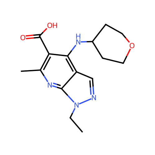 CCn1ncc2c(NC3CCOCC3)c(C(=O)O)c(C)nc21